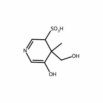 CC1(CO)C(O)=CN=CC1S(=O)(=O)O